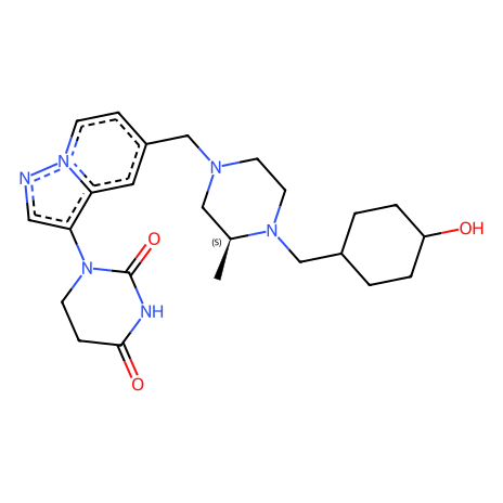 C[C@H]1CN(Cc2ccn3ncc(N4CCC(=O)NC4=O)c3c2)CCN1CC1CCC(O)CC1